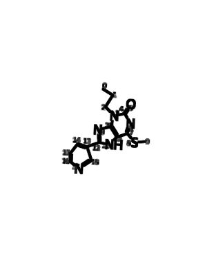 CCCn1c(=O)nc(SC)c2[nH]c(-c3cccnc3)nc21